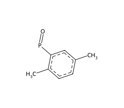 Cc1ccc(C)c(P=O)c1